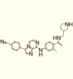 C=C(NCC1CCNC1)c1ccc(Nc2nccn3c(-c4ccc(C#N)cc4)cnc23)cc1C